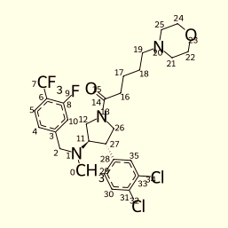 CN(Cc1ccc(C(F)(F)F)c(F)c1)[C@H]1CN(C(=O)CCCCN2CCOCC2)C[C@@H]1c1ccc(Cl)c(Cl)c1